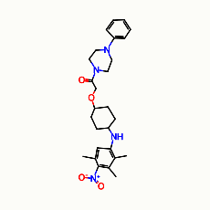 Cc1cc(NC2CCC(OCC(=O)N3CCN(c4ccccc4)CC3)CC2)c(C)c(C)c1[N+](=O)[O-]